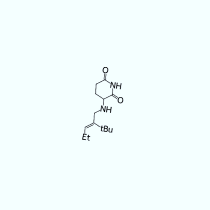 CC/C=C(/CNC1CCC(=O)NC1=O)C(C)(C)C